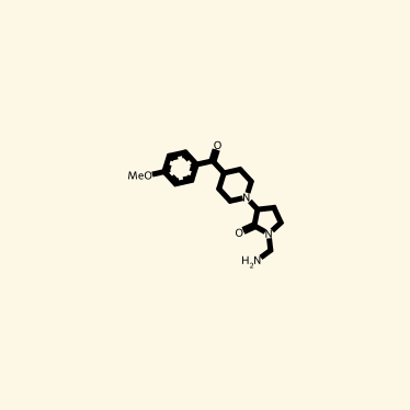 COc1ccc(C(=O)C2CCN(C3CCN(CN)C3=O)CC2)cc1